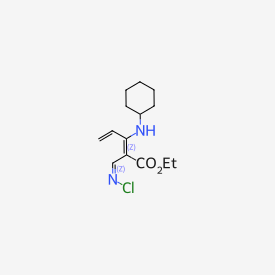 C=C/C(NC1CCCCC1)=C(\C=N/Cl)C(=O)OCC